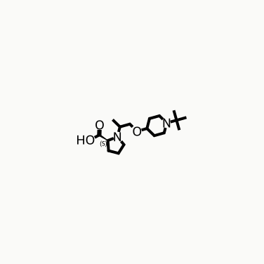 CC(COC1CCN(C(C)(C)C)CC1)N1CCC[C@H]1C(=O)O